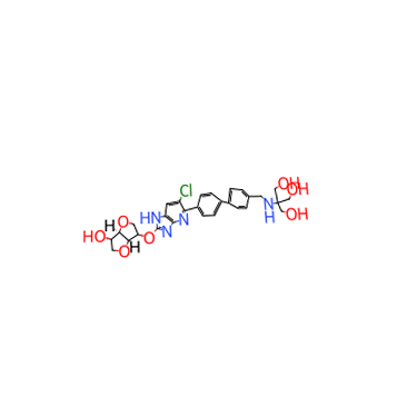 OCC(CO)(CO)NCc1ccc(-c2ccc(-c3nc4nc(O[C@@H]5CO[C@H]6[C@@H]5OC[C@H]6O)[nH]c4cc3Cl)cc2)cc1